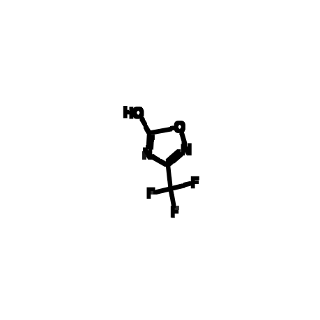 Oc1nc(C(F)(F)F)no1